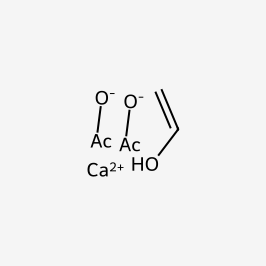 C=CO.CC(=O)[O-].CC(=O)[O-].[Ca+2]